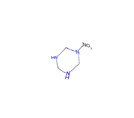 O=[N+]([O-])N1CNCNC1